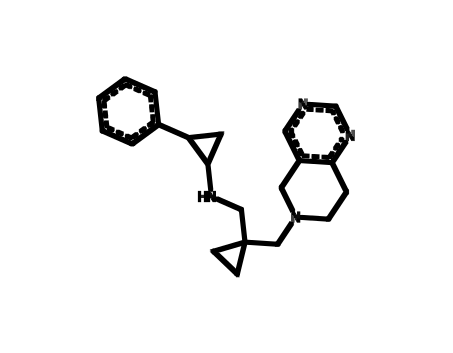 c1ccc(C2CC2NCC2(CN3CCc4ncncc4C3)CC2)cc1